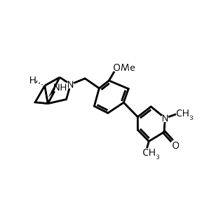 COc1cc(-c2cc(C)c(=O)n(C)c2)ccc1CN1CC23C[C@H]2C1CN3